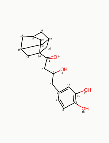 O=C(CC(O)Cc1ccc(O)c(O)c1)C12CC3CC(CC(C3)C1)C2